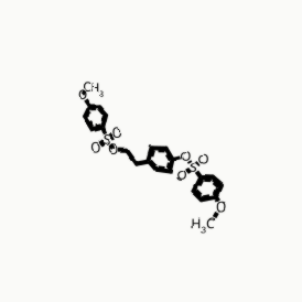 COc1ccc(S(=O)(=O)OCCc2ccc(OS(=O)(=O)c3ccc(OC)cc3)cc2)cc1